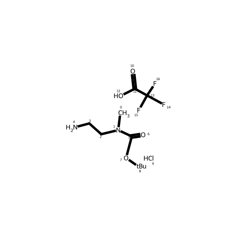 CN(CCN)C(=O)OC(C)(C)C.Cl.O=C(O)C(F)(F)F